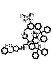 CC(C)[Si](Oc1cccc(Cn2cc(/C(=C\CN[C@@H]3C[C@@H](Cc4ccccc4)[C@H](O)C3)c3cc(NC(c4ccccc4)(c4ccccc4)c4ccccc4)nc4c3nnn4C(c3ccccc3)(c3ccccc3)c3ccccc3)cn2)c1)(C(C)C)C(C)C